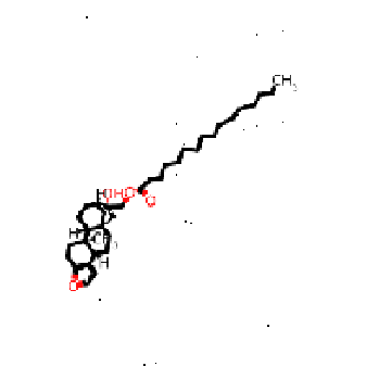 CCCCCCCCCCCCCCCC(=O)OC[C@@]1(O)C[C@@]23CC[C@@H]4c5ccoc5CC[C@@]4(C)[C@@H]2CC[C@@H]1C3